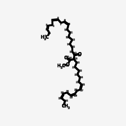 CC/C=C\C/C=C\C/C=C\CCCCCCCC(=O)C(CCCCCC/C=C\C/C=C\C/C=C\CC)C(=O)OC